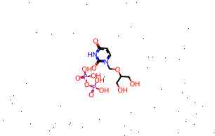 O=P(O)(O)OP(=O)(O)O.O=c1ccn(COC(CO)CO)c(=O)[nH]1